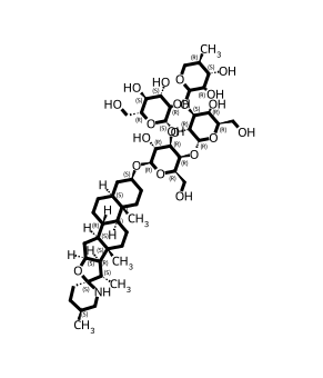 C[C@H]1CC[C@]2(NC1)O[C@H]1C[C@H]3[C@@H]4CC[C@H]5C[C@@H](O[C@@H]6O[C@H](CO)[C@H](O[C@H]7O[C@H](CO)[C@@H](O)[C@H](OC8OC[C@@H](C)[C@H](O)[C@H]8O)[C@H]7O[C@@H]7O[C@H](CO)[C@@H](O)[C@H](O)[C@H]7O)[C@H](O)[C@H]6O)CC[C@]5(C)[C@H]4CC[C@]3(C)[C@H]1[C@@H]2C